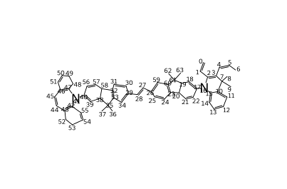 C=CC1=C(/C=C\C)C(C)(C)c2ccccc2N1C1=CC2C(C=C1)c1ccc(/C=C/c3ccc4c(c3)C(C)(C)C3C=C(N5C6=C(C=CC7=C5CCC=C7)CCC=C6)C=CC43)cc1C2(C)C